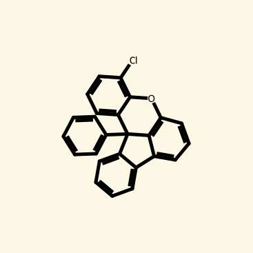 Clc1cccc2c1Oc1cccc3c1C2(c1ccccc1)c1ccccc1-3